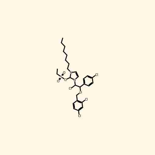 CCCCCCCCN1C=CN(C(Cl)C(OCc2ccc(Cl)cc2Cl)c2ccc(Cl)cc2)C1OS(=O)(=O)CC